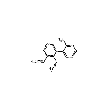 C=Cc1cccc(-c2ccccc2C)c1C=C